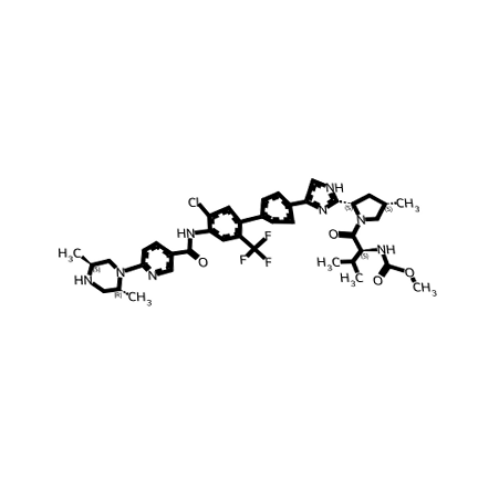 COC(=O)N[C@H](C(=O)N1C[C@@H](C)C[C@H]1c1nc(-c2ccc(-c3cc(Cl)c(NC(=O)c4ccc(N5C[C@H](C)NC[C@H]5C)nc4)cc3C(F)(F)F)cc2)c[nH]1)C(C)C